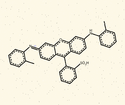 Cc1ccccc1/N=c1\ccc2c(-c3ccccc3S(=O)(=O)O)c3ccc(Nc4ccccc4C)cc3oc-2c1